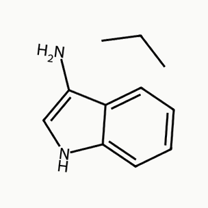 CCC.Nc1c[nH]c2ccccc12